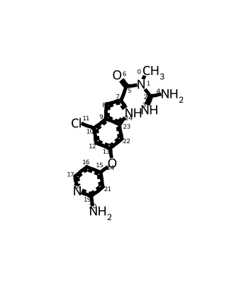 CN(C(=N)N)C(=O)c1cc2c(Cl)cc(Oc3ccnc(N)c3)cc2[nH]1